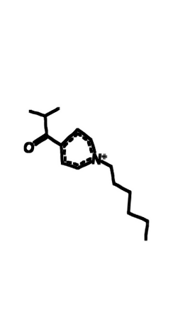 CCCCCC[n+]1ccc(C(=O)C(C)C)cc1